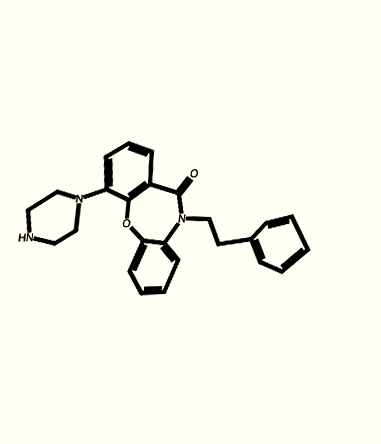 O=C1c2cccc(N3CCNCC3)c2Oc2ccccc2N1CCc1ccccc1